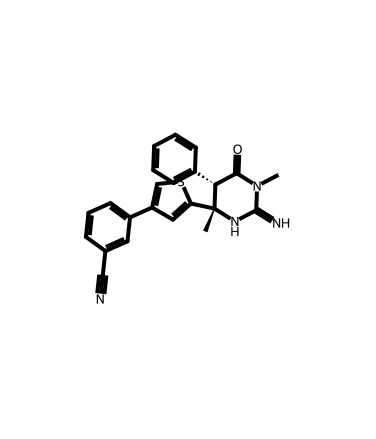 CN1C(=N)N[C@](C)(c2cc(-c3cccc(C#N)c3)cs2)[C@H](c2ccccc2)C1=O